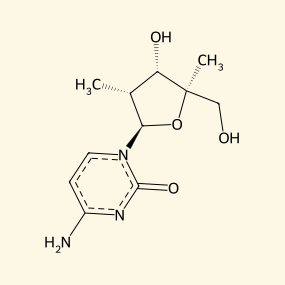 C[C@H]1[C@H](n2ccc(N)nc2=O)O[C@](C)(CO)[C@H]1O